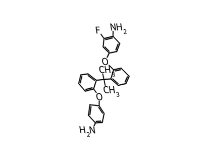 CC(C)(c1ccccc1Oc1ccc(N)cc1)c1ccccc1Oc1ccc(N)c(F)c1